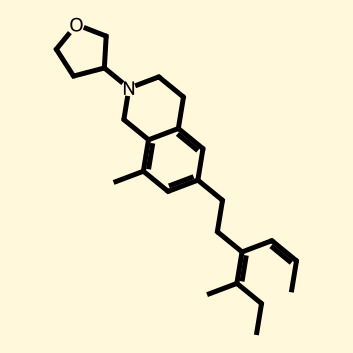 C/C=C\C(CCc1cc(C)c2c(c1)CCN(C1CCOC1)C2)=C(\C)CC